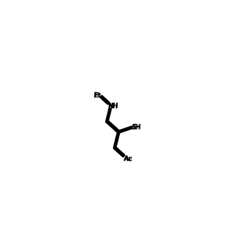 CCNCC(S)CC(C)=O